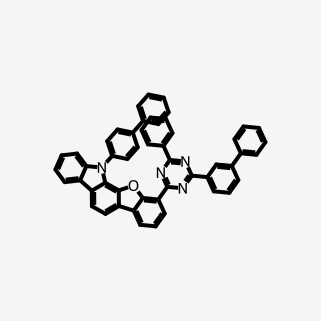 c1ccc(-c2ccc(-n3c4ccccc4c4ccc5c6cccc(-c7nc(-c8ccccc8)nc(-c8cccc(-c9ccccc9)c8)n7)c6oc5c43)cc2)cc1